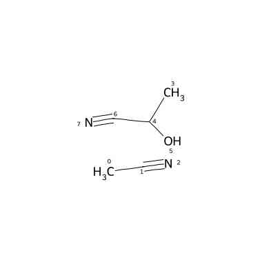 CC#N.CC(O)C#N